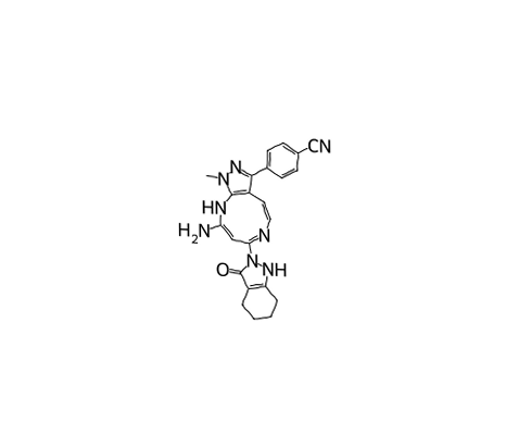 Cn1nc(-c2ccc(C#N)cc2)c2ccnc(-n3[nH]c4c(c3=O)CCCC4)cc(N)[nH]c21